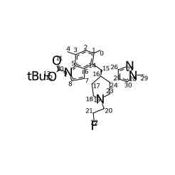 Cc1cc(C)c2c(ccn2C(=O)OC(C)(C)C)c1C[C@@H]1CCN(CCF)C[C@H]1c1cnn(C)c1